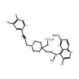 COc1ccc2ncc(Cl)c([C@@H](O)CCC3(CC(=O)O)CCN(CC#Cc4ccc(C)c(F)c4)CC3)c2c1